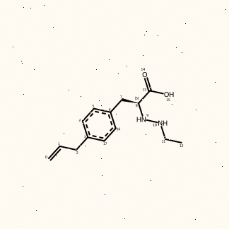 C=CCc1ccc(C[C@H](NNCC)C(=O)O)cc1